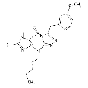 CCCCCn1c2nc(Br)[nH]c2c(=O)n2c(Cc3cccc(OC)c3)nnc12